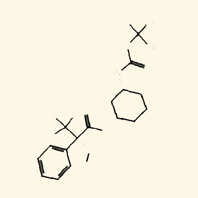 CO[C@](C(=O)O[C@H]1CCC[C@@H](NC(=O)OC(C)(C)C)C1)(c1ccccc1)C(F)(F)F